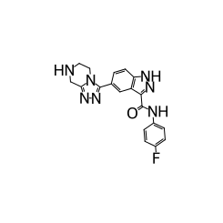 O=C(Nc1ccc(F)cc1)c1n[nH]c2ccc(-c3nnc4n3CCNC4)cc12